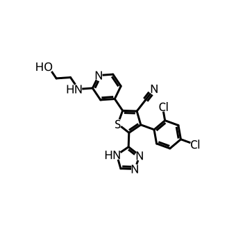 N#Cc1c(-c2ccnc(NCCO)c2)sc(-c2nnc[nH]2)c1-c1ccc(Cl)cc1Cl